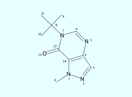 Cn1ncc2ncn(C(C)(C)C)c(=O)c21